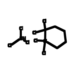 ClC1(Cl)CCCC[Si]1(Cl)Cl.Cl[SiH](Cl)Cl